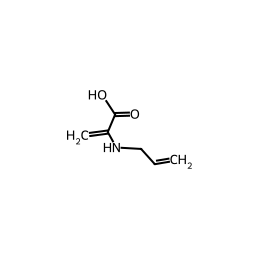 C=CCNC(=C)C(=O)O